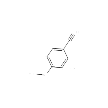 C#Cc1ccc(OC)cc1.[Pd+2]